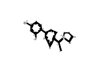 CC(c1ccc(-c2ccc(Br)cc2F)cc1)N1CCCC1